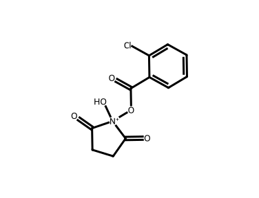 O=C(O[N+]1(O)C(=O)CCC1=O)c1ccccc1Cl